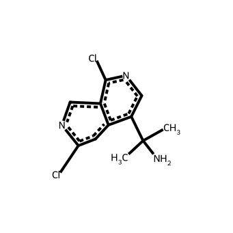 CC(C)(N)c1cnc(Cl)c2cnc(Cl)cc12